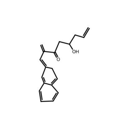 C=CCC(O)CC(=O)C(=C)/C=C1/C=c2ccccc2=CC1